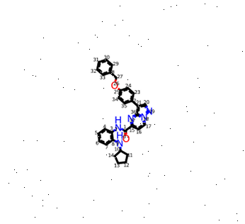 O=C(Nc1ccccc1NC1CCCC1)c1ccn2ncc(-c3ccc(OCc4ccccc4)cc3)c2n1